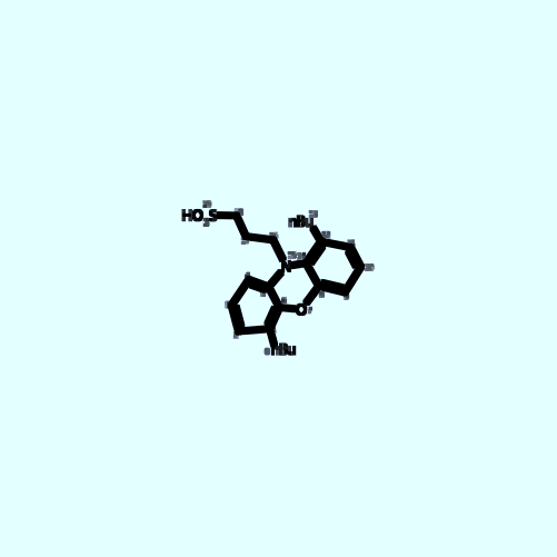 CCCCc1cccc2c1Oc1cccc(CCCC)c1N2CCCS(=O)(=O)O